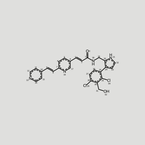 O=C(/C=C/c1ccc(/C=C/c2ccncc2)nc1)NCc1[nH]ccc1-c1ccc(Cl)c(CO)c1Cl